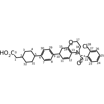 O=C(O)CC1CCC(c2ccc(C3C=CC4=C(C3)OCCN4[S+]([O-])c3ccccc3Cl)cc2)CC1